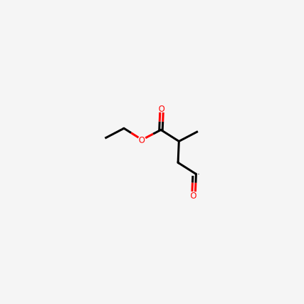 CCOC(=O)C(C)C[C]=O